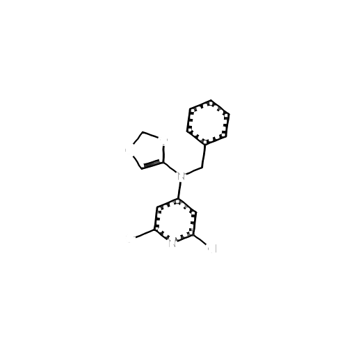 Clc1cc(N(Cc2ccccc2)C2=COCO2)cc(Cl)n1